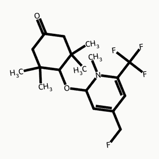 CN1C(C(F)(F)F)=CC(CF)=CC1OC1C(C)(C)CC(=O)CC1(C)C